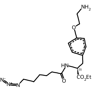 CCOC(=O)[C@H](Cc1ccc(OCCN)cc1)NC(=O)CCCCCN=[N+]=[N-]